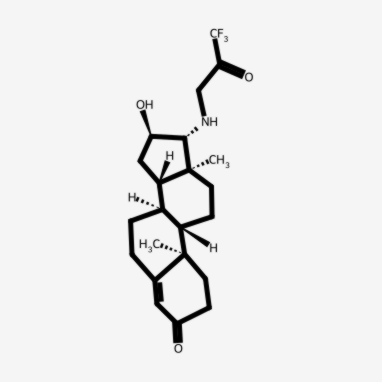 C[C@]12CC[C@H]3[C@@H](CCC4=CC(=O)CC[C@@]43C)[C@@H]1C[C@@H](O)[C@@H]2NCC(=O)C(F)(F)F